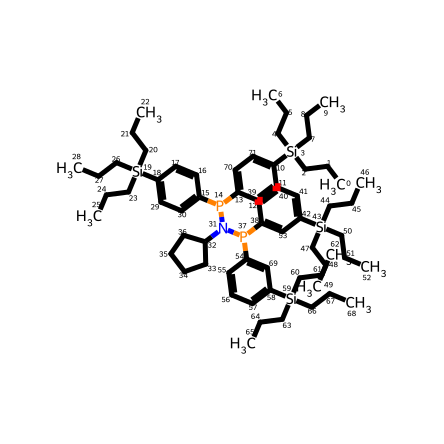 CCC[Si](CCC)(CCC)c1ccc(P(c2ccc([Si](CCC)(CCC)CCC)cc2)N(C2CCCC2)P(c2cccc([Si](CCC)(CCC)CCC)c2)c2cccc([Si](CCC)(CCC)CCC)c2)cc1